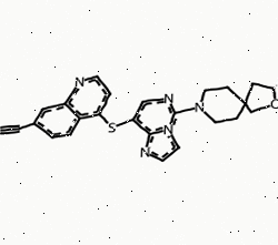 C[C@H]1CC2(CCN(c3ncc(Sc4ccnc5cc(C#N)ccc45)c4nccn34)CC2)CO1